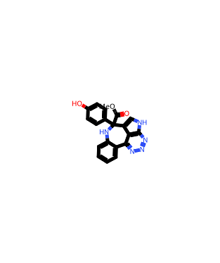 COC(=O)C1(c2ccc(O)cc2)Nc2ccccc2-c2nnnc3[nH]cc1c23